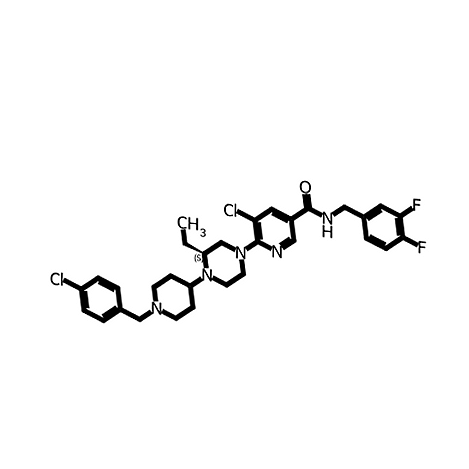 CC[C@H]1CN(c2ncc(C(=O)NCc3ccc(F)c(F)c3)cc2Cl)CCN1C1CCN(Cc2ccc(Cl)cc2)CC1